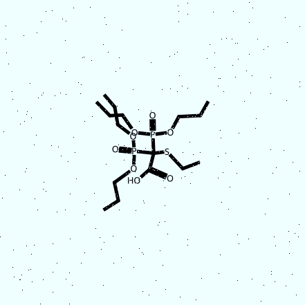 CCCOP(=O)(OCCC)C(SCC)(C(=O)O)P(=O)(OCCC)OCCC